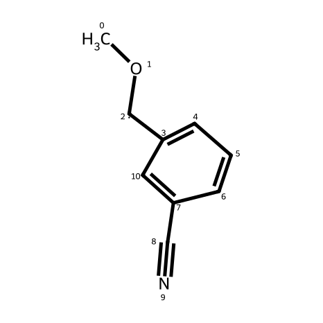 CO[CH]c1cccc(C#N)c1